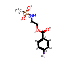 O=C(OCCNS(=O)(=O)C(F)(F)F)c1ccc(I)cc1